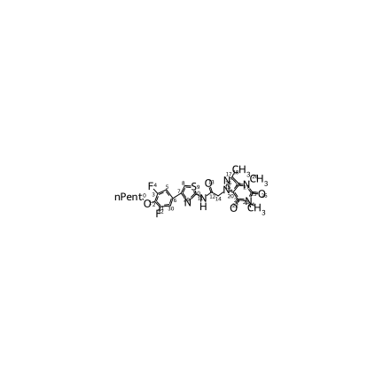 CCCCCOc1c(F)cc(-c2csc(NC(=O)Cn3nc(C)c4c3c(=O)n(C)c(=O)n4C)n2)cc1F